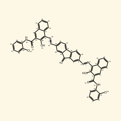 O=C1c2cc(/N=N/c3c(O)c(C(=O)Nc4ccccc4Cl)cc4ccccc34)ccc2-c2ccc(/N=N/c3c(O)c(C(=O)Nc4ccccc4Cl)cc4ccccc34)cc21